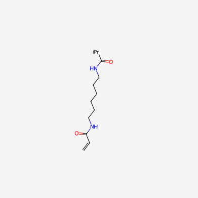 C=CC(=O)NCCCCCCNC(=O)C(C)C